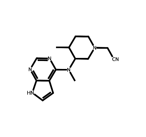 CC1CCN(CC#N)CC1N(C)c1ncnc2[nH]ccc12